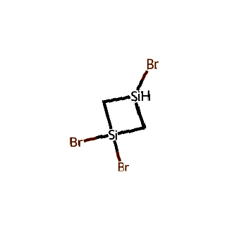 Br[SiH]1C[Si](Br)(Br)C1